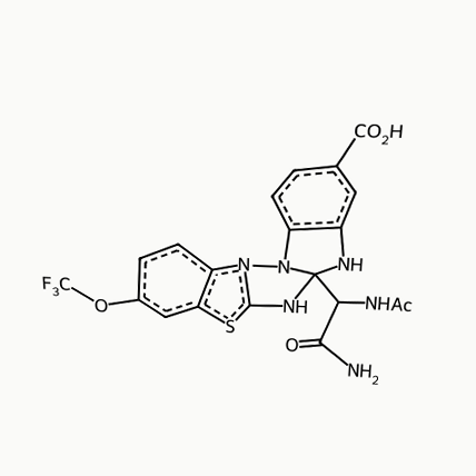 CC(=O)NC(C(N)=O)C1(Nc2nc3ccc(OC(F)(F)F)cc3s2)Nc2cc(C(=O)O)ccc2N1C